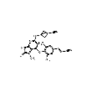 Cc1cc(/C=C/C#N)cc(C)c1Oc1nc(NC23CC(C#N)(C2)C3)nc2[nH]c(=O)n(C)c12